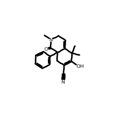 CN1CC=C2C(C)(C)C(O)=C(C#N)CC2(c2ccccc2)C1=O